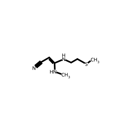 CN/C(=C\C#N)NCCSC